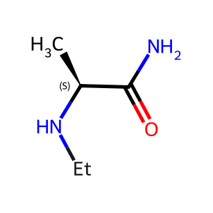 CCN[C@@H](C)C(N)=O